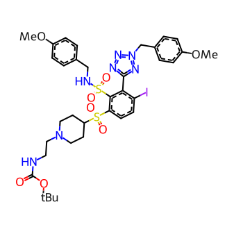 COc1ccc(CNS(=O)(=O)c2c(S(=O)(=O)C3CCN(CCNC(=O)OC(C)(C)C)CC3)ccc(I)c2-c2nnn(Cc3ccc(OC)cc3)n2)cc1